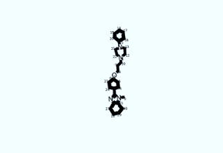 Cn1c(-c2ccc(OCCCN3CCN(c4ccccc4)CC3)cc2)nc2ccccc21